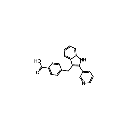 O=C(O)c1ccc(Cc2c(-c3cccnc3)[nH]c3ccccc23)cc1